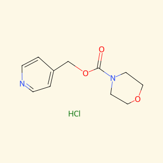 Cl.O=C(OCc1ccncc1)N1CCOCC1